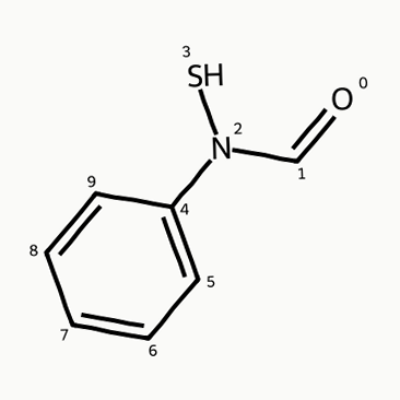 O=CN(S)c1ccccc1